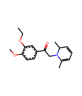 CCOc1cc(C(=O)CN2C(C)=CC=CC2C)ccc1OC